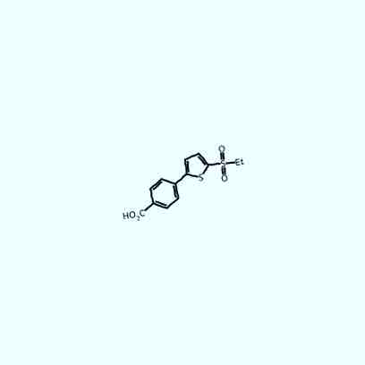 CCS(=O)(=O)c1ccc(-c2ccc(C(=O)O)cc2)s1